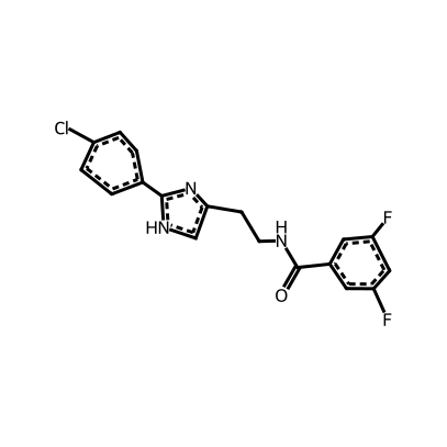 O=C(NCCc1c[nH]c(-c2ccc(Cl)cc2)n1)c1cc(F)cc(F)c1